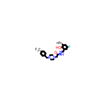 CCCc1cc(F)cc(C=NNC(=O)CN2CCN(Cc3ccc(C(F)(F)F)cc3)CC2)c1O